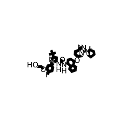 C[C@H]1CCCCN1c1nnc2ccc(O[C@@H]3CC[C@H](NC(=O)Nc4cc(C(C)(C)C)nn4-c4ccc(F)c(OCCO)c4)c4ccccc43)cn12